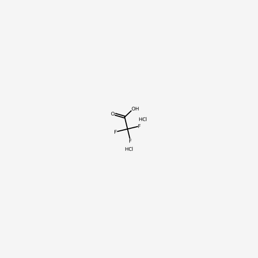 Cl.Cl.O=C(O)C(F)(F)F